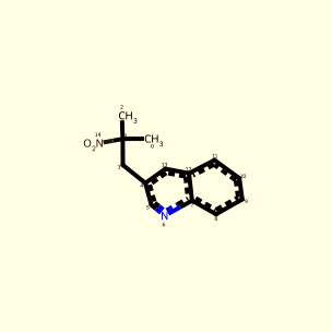 CC(C)(Cc1cnc2ccccc2c1)[N+](=O)[O-]